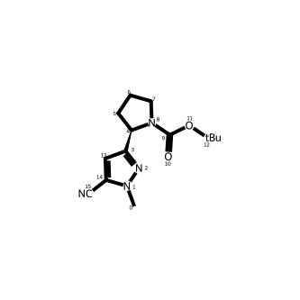 Cn1nc([C@H]2CCCN2C(=O)OC(C)(C)C)cc1C#N